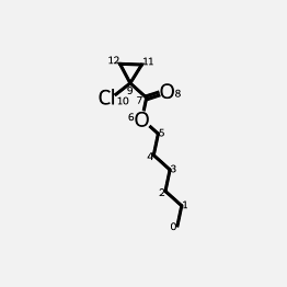 CCCCCCOC(=O)C1(Cl)CC1